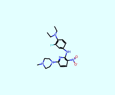 CCN(CC)c1ccc(Nc2nc(N3CCN(C)CC3)ccc2[N+](=O)[O-])cc1F